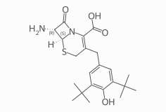 CC(C)(C)c1cc(CC2=C(C(=O)O)N3C(=O)[C@@H](N)[C@@H]3SC2)cc(C(C)(C)C)c1O